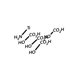 O=C(O)O.O=C(O)O.O=C(O)O.O=C(O)O.[NH2][Ti]